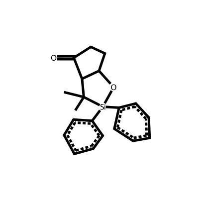 CC1(C)C2C(=O)CCC2O[Si]1(c1ccccc1)c1ccccc1